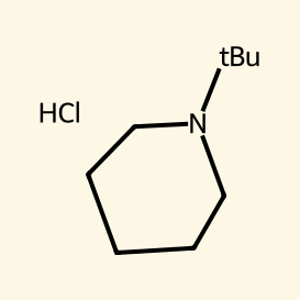 CC(C)(C)N1CCCCC1.Cl